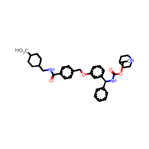 O=C(NC(c1ccccc1)c1cccc(OCc2ccc(C(=O)NCC3CCC(C(=O)O)CC3)cc2)c1)OC1CN2CCC1CC2